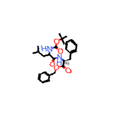 CC(C)CC(NC(=O)OC(C)(C)C)C(=O)N[C@@H](Cc1ccccc1)C(=O)OCc1ccccc1